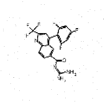 NC(N)=NC(=O)c1ccc2nc(C(F)(F)F)cc(-c3c(F)cc(F)cc3F)c2c1